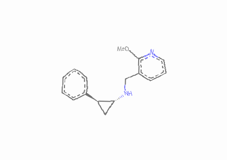 COc1ncccc1CN[C@@H]1C[C@H]1c1ccccc1